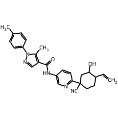 C=CC1CCC(C#N)(c2ccc(NC(=O)c3cnn(-c4ccc(C)cc4)c3C)cn2)CC1O